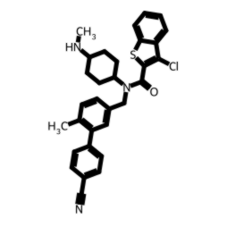 CNC1CCC(N(Cc2ccc(C)c(-c3ccc(C#N)cc3)c2)C(=O)c2sc3ccccc3c2Cl)CC1